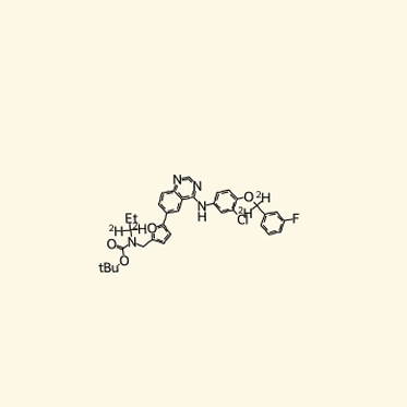 [2H]C([2H])(Oc1ccc(Nc2ncnc3ccc(-c4ccc(CN(C(=O)OC(C)(C)C)C([2H])([2H])CC)o4)cc23)cc1Cl)c1cccc(F)c1